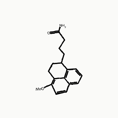 COc1ccc2cccc3c2c1CCC3CCCC(N)=O